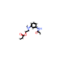 CCC(=O)OCCN(C)c1cccc(NC(C)=O)c1